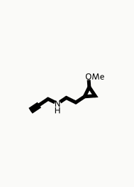 C#CCNCCC1CC1OC